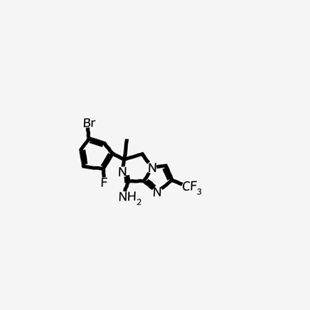 CC1(c2cc(Br)ccc2F)Cn2cc(C(F)(F)F)nc2C(N)=N1